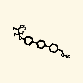 CCOCC1CCC(c2ccc(-c3ccc(OC(F)(F)C(F)C(F)(F)F)cc3)cc2)CC1